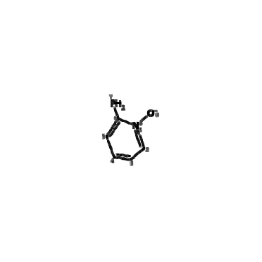 [O-][n+]1ccccc1P